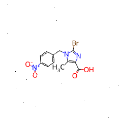 Cc1c(C(=O)O)nc(Br)n1Cc1ccc([N+](=O)[O-])cc1